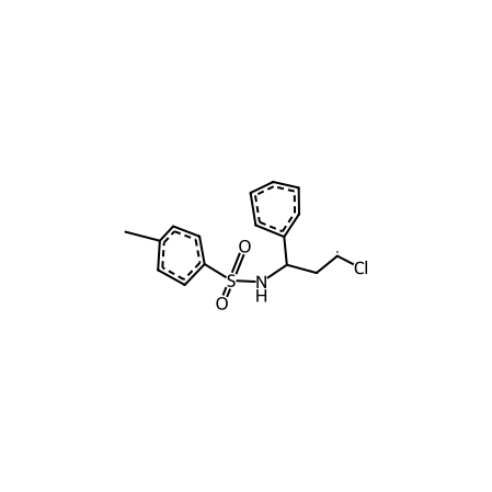 Cc1ccc(S(=O)(=O)NC(C[CH]Cl)c2ccccc2)cc1